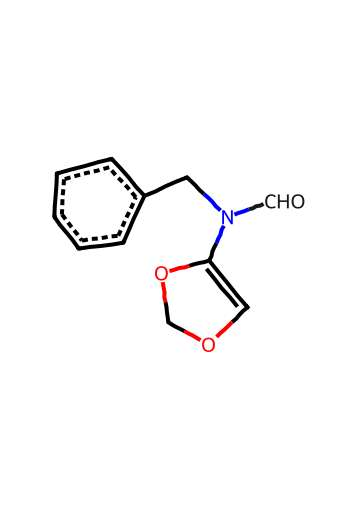 O=CN(Cc1ccccc1)C1=COCO1